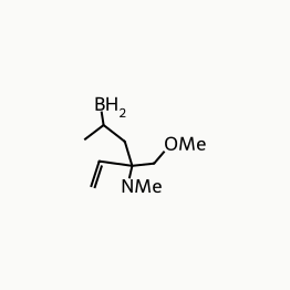 BC(C)CC(C=C)(COC)NC